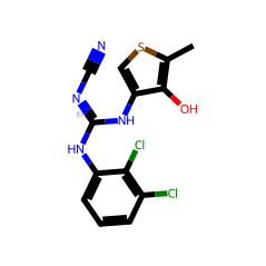 Cc1scc(N/C(=N\C#N)Nc2cccc(Cl)c2Cl)c1O